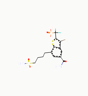 NC(=O)c1cc(CCCCS(N)(=O)=O)c2sc(C(F)(F)P(=O)(O)O)c(Br)c2c1